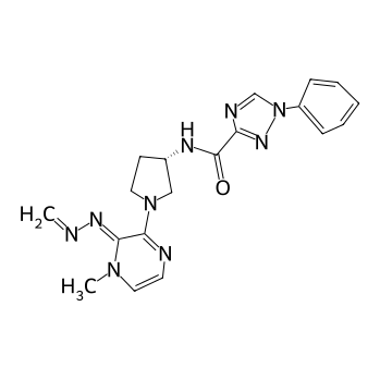 C=N/N=c1/c(N2CC[C@H](NC(=O)c3ncn(-c4ccccc4)n3)C2)nccn1C